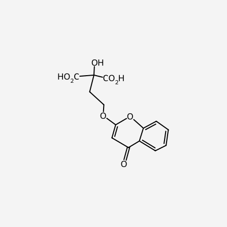 O=C(O)C(O)(CCOc1cc(=O)c2ccccc2o1)C(=O)O